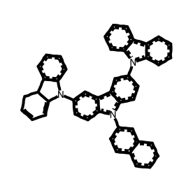 C1=CCC2C(=C1)N(c1ccc3c(c1)c1cc(-n4c5ccccc5c5ccccc54)ccc1n3-c1ccc3ccccc3c1)c1ccccc12